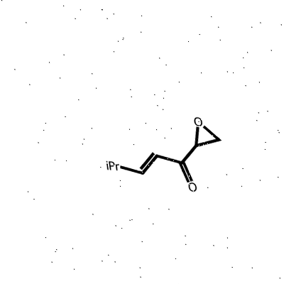 CC(C)/C=C/C(=O)C1CO1